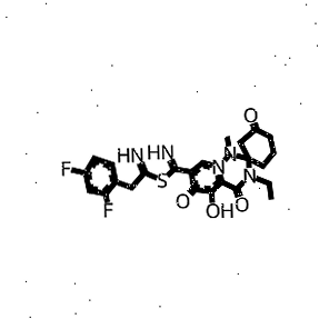 CCN1C(=O)c2c(O)c(=O)c(C(=N)SC(=N)Cc3ccc(F)cc3F)cn2N(C)C12CCCC(=O)C2